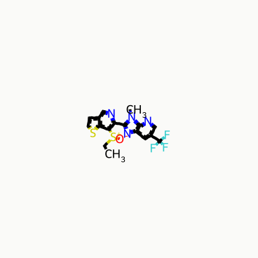 CC[S+]([O-])c1c(-c2nc3cc(C(F)(F)F)cnc3n2C)ncc2ccsc12